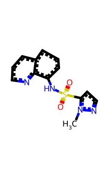 Cn1nccc1S(=O)(=O)Nc1cccc2cccnc12